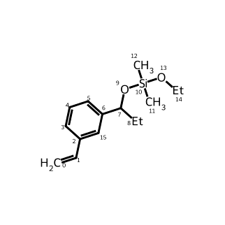 C=Cc1cccc(C(CC)O[Si](C)(C)OCC)c1